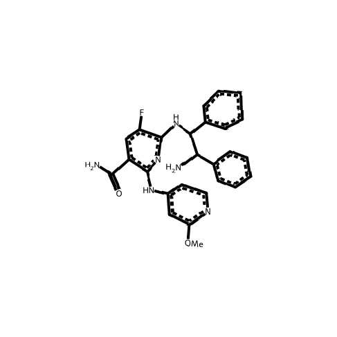 COc1cc(Nc2nc(NC(c3ccccc3)C(N)c3ccccc3)c(F)cc2C(N)=O)ccn1